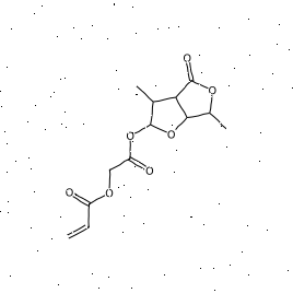 C=CC(=O)OCC(=O)OC1OC2C(C)OC(=O)C2C1C